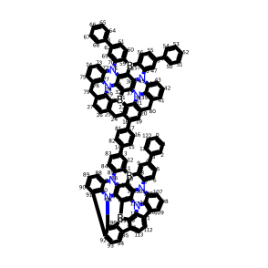 c1ccc(-c2ccc3c(c2)B2c4cc(-c5ccc(-c6cc7c8c9c6Cc6ccc%10c%11c6B9c6c9c%12c%13c%14c6n-8c6c(cccc6n%14-c6cc(-c8ccccc8)ccc6B%13c6ccc(-c8ccccc8)cc6-n%12c6cccc(c6n9-%11)C%10)C7)cc5)ccc4-n4c5cccc6c7ccc8c9c7n(c7c%10c%11c(c2c74)n-3c2cccc3c4ccc-8c(c4n%11c32)B9%10)c65)cc1